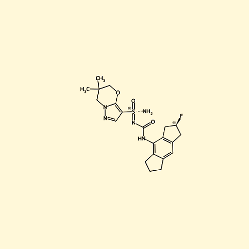 CC1(C)COc2c([S@@](N)(=O)=NC(=O)Nc3c4c(cc5c3C[C@@H](F)C5)CCC4)cnn2C1